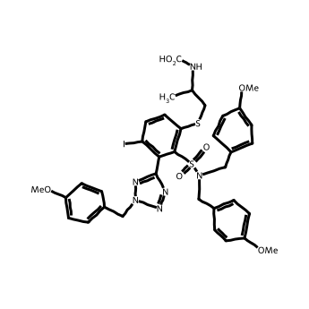 COc1ccc(CN(Cc2ccc(OC)cc2)S(=O)(=O)c2c(SCC(C)NC(=O)O)ccc(I)c2-c2nnn(Cc3ccc(OC)cc3)n2)cc1